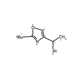 CC(C)C(C)c1coc(C(C)(C)C)n1